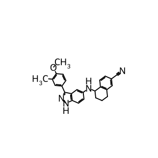 COc1ccc(-c2n[nH]c3ccc(NC4CCCc5cc(C#N)ccc54)cc23)cc1C